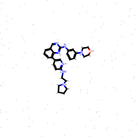 c1cc(Nc2ncc3cccc(-c4ccc(NCCN5CCCC5)nc4)c3n2)cc(N2CCOCC2)c1